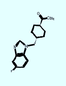 COC(=O)[C@H]1CC[C@H](Cn2cnc3cc(F)ccc32)CC1